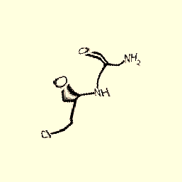 NC(=O)NC(=O)CCl